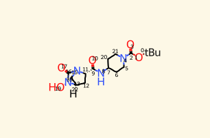 CC(C)(C)OC(=O)N1CCC(NC(=O)[C@@H]2C[C@@H]3CN2C(=O)N3O)CC1